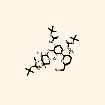 CN(C(=O)OC(C)(C)C)[C@@H]1[C@@H](O)[C@@H](O[C@@H]2[C@@H](O)[C@H](C3OC(CN)=CC[C@H]3N)[C@@H](NC(=O)OC(C)(C)C)C[C@H]2NC(=O)OC(C)(C)C)OC[C@]1(C)O